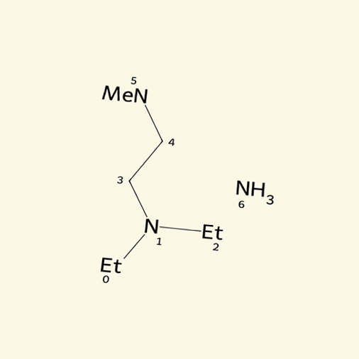 CCN(CC)CCNC.N